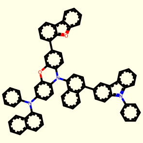 c1ccc(N(c2ccc3c(c2)Oc2cc(-c4cccc5c4oc4ccccc45)ccc2N3c2ccc(-c3ccc4c(c3)c3ccccc3n4-c3ccccc3)c3ccccc23)c2cccc3ccccc23)cc1